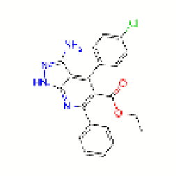 CCOC(=O)c1c(-c2ccccc2)nc2[nH]nc(N)c2c1-c1ccc(Cl)cc1